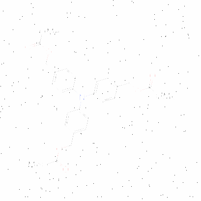 COC(=O)OCc1ccc(N(c2ccc(COC(=O)OC)cc2)c2ccc(COC(=O)OC)cc2)cc1